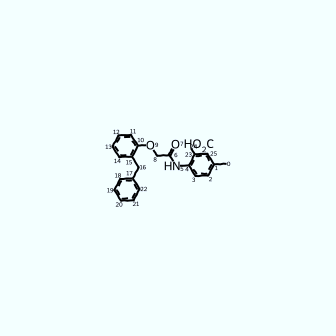 Cc1ccc(NC(=O)COc2ccccc2Cc2ccccc2)c(C(=O)O)c1